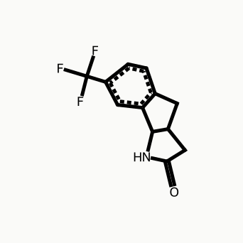 O=C1CC2Cc3ccc(C(F)(F)F)cc3C2N1